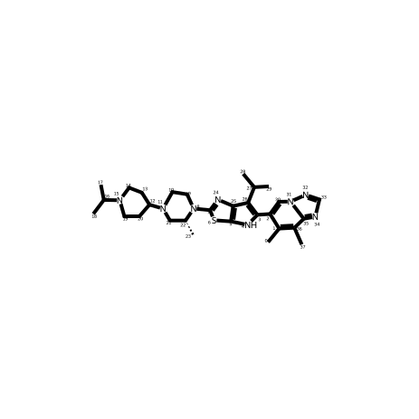 Cc1c(-c2[nH]c3sc(N4CCN(C5CCN(C(C)C)CC5)C[C@H]4C)nc3c2C(C)C)cn2ncnc2c1C